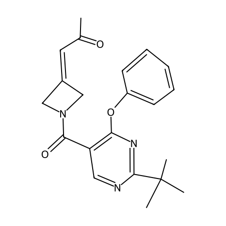 CC(=O)C=C1CN(C(=O)c2cnc(C(C)(C)C)nc2Oc2ccccc2)C1